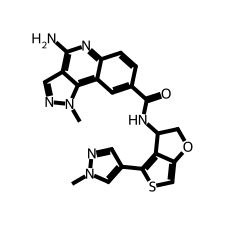 Cn1cc(-c2scc3c2C(NC(=O)c2ccc4nc(N)c5cnn(C)c5c4c2)CO3)cn1